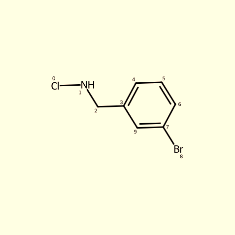 ClNCc1cccc(Br)c1